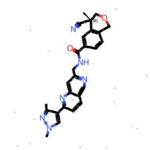 Cc1nn(C)cc1-c1ccc2cnc(CNC(=O)c3ccc4c(c3)[C@](C)(C#N)COC4)cc2n1